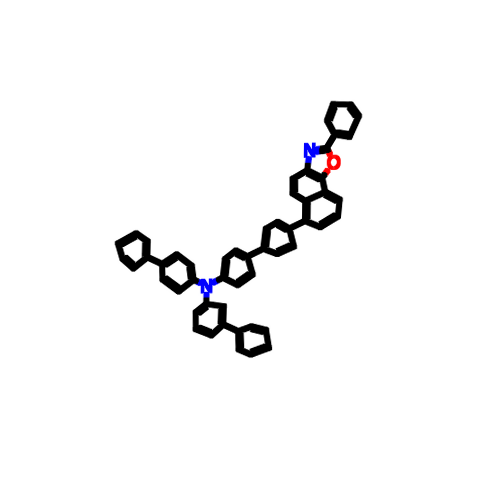 c1ccc(-c2ccc(N(c3ccc(-c4ccc(-c5cccc6c5ccc5nc(-c7ccccc7)oc56)cc4)cc3)c3cccc(-c4ccccc4)c3)cc2)cc1